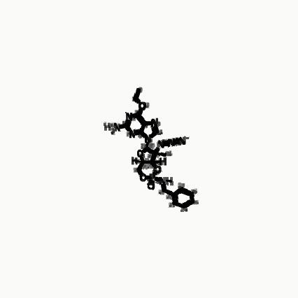 CCOc1nc(N)nc2c1ncn2[C@@H]1O[C@@H]2COP(=O)(NCc3ccccc3)O[C@H]2[C@@]1(C)N=[N+]=[N-]